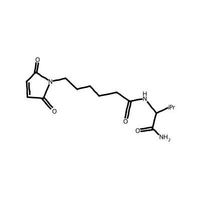 CC(C)C(NC(=O)CCCCCN1C(=O)C=CC1=O)C(N)=O